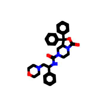 O=C(NC(CN1CCOCC1)c1ccccc1)N1CCN2C(=O)OC(c3ccccc3)(c3ccccc3)C2C1